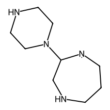 C1C[N]C(N2CCNCC2)CNC1